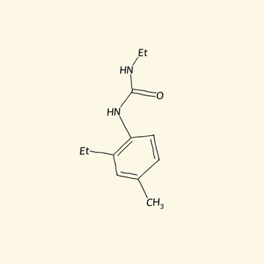 CCNC(=O)Nc1ccc(C)cc1CC